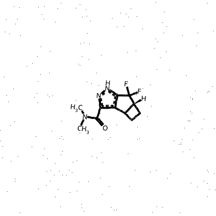 CN(C)C(=O)c1n[nH]c2c1C1CC[C@H]1C2(F)F